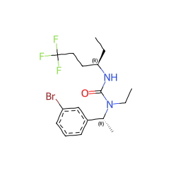 CC[C@H](CCC(F)(F)F)NC(=O)N(CC)[C@H](C)c1cccc(Br)c1